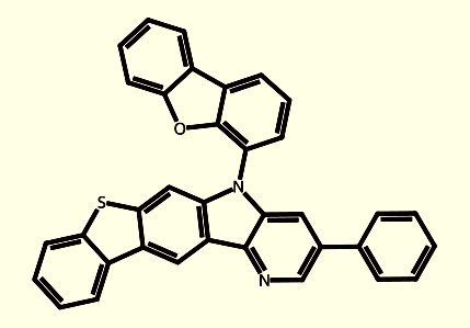 c1ccc(-c2cnc3c4cc5c(cc4n(-c4cccc6c4oc4ccccc46)c3c2)sc2ccccc25)cc1